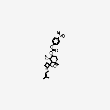 COC1C(OC(=O)Oc2ccc([N+](=O)[O-])cc2)CC[C@]2(CO2)C1[C@@]1(C)CC[C@@H]1CC=C(C)C